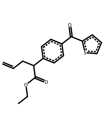 C=CCC(C(=O)OCC)c1ccc(C(=O)c2cccs2)cc1